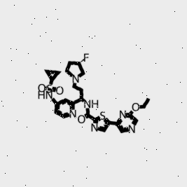 CCOc1cncc(-c2cnc(C(=O)NC(CCN3CC[C@H](F)C3)c3cc(NS(=O)(=O)C4CC4)ccn3)s2)n1